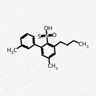 CCCCc1cc(C)cc(-c2cccc(C)c2)c1S(=O)(O)=S